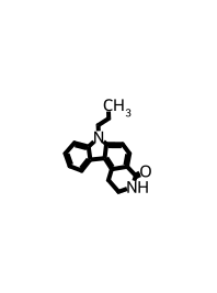 CCCn1c2ccccc2c2c3c(ccc21)C(=O)NCC3